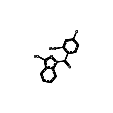 CNc1cc(Cl)ccc1C(=O)n1nc(O)c2ccccc21